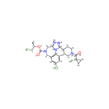 C[C@H](CF)OC(=O)N1Cc2cc(Cl)ccc2-n2c(nnc2C2CCN(C(=O)C3(F)CC3)CC2)C1